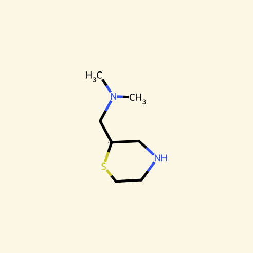 CN(C)C[C]1CNCCS1